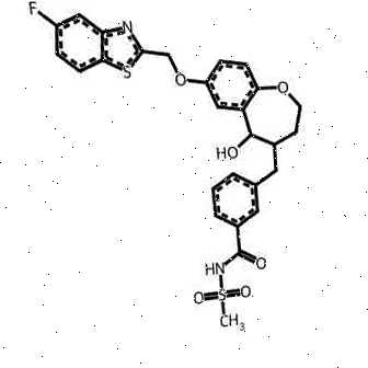 CS(=O)(=O)NC(=O)c1cccc(CC2CCOc3ccc(OCc4nc5cc(F)ccc5s4)cc3C2O)c1